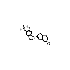 CNc1ccc2c(c1)CCN2C1=CC2=CC(=O)CCC2CC1